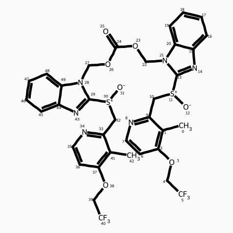 Cc1c(OCC(F)(F)F)ccnc1C[S+]([O-])c1nc2ccccc2n1COC(=O)OCn1c([S+]([O-])Cc2nccc(OCC(F)(F)F)c2C)nc2ccccc21